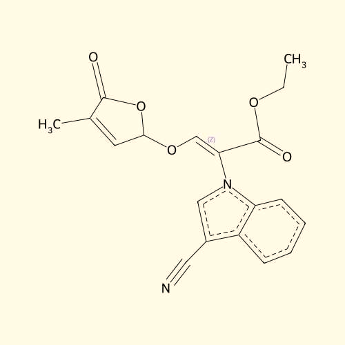 CCOC(=O)/C(=C/OC1C=C(C)C(=O)O1)n1cc(C#N)c2ccccc21